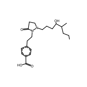 CCCC(C)C(O)CCCN1CCC(=O)N1CCc1ccc(C(=O)O)cc1